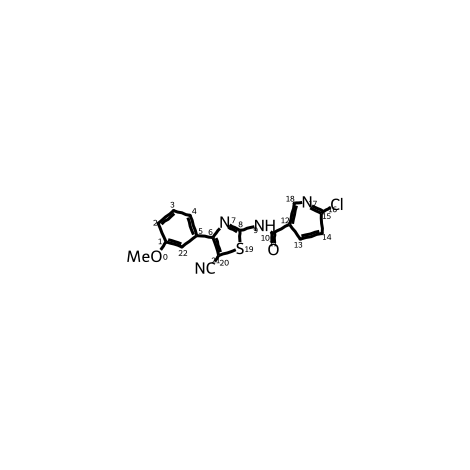 COc1cccc(-c2nc(NC(=O)c3ccc(Cl)nc3)sc2C#N)c1